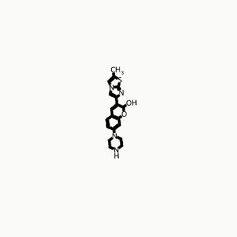 Cc1cn2cc(C3=Cc4ccc(N5CCNCC5)cc4OC3O)nc2s1